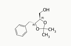 CC1(C)O[C@H](CO)[C@@H](Cc2ccccc2)O1